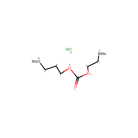 CNCCOC(=O)OCCCOC.Cl